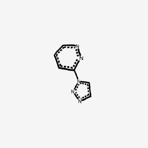 c1cnnc(-n2ccnn2)c1